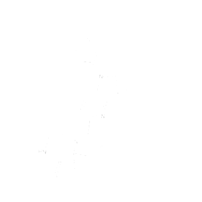 CC1(C)CN(c2ccsc2)c2ccc(C(=O)N3CCNC(=O)C3(C)C)nc21